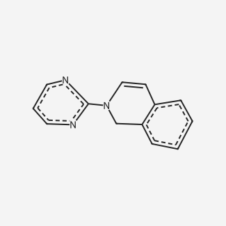 C1=CN(c2ncccn2)Cc2ccccc21